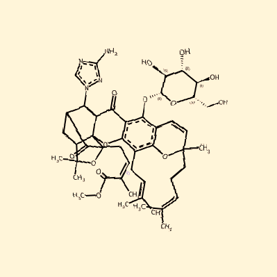 COC(=O)/C(C)=C\CC12OC(C)(C)C3CC(C1=O)C(n1cnc(N)n1)C1C(=O)c4c(O[C@H]5O[C@@H](CO)[C@H](O)[C@@H](O)[C@@H]5O)c5c(c(CC=C(C)C)c4OC132)OC(C)(CCC=C(C)C)C=C5